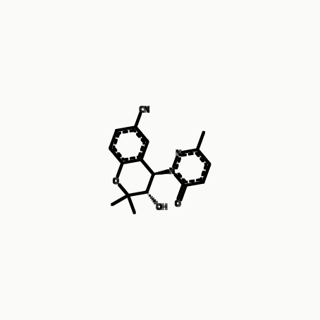 Cc1ccc(=O)n([C@@H]2c3cc(C#N)ccc3OC(C)(C)[C@H]2O)n1